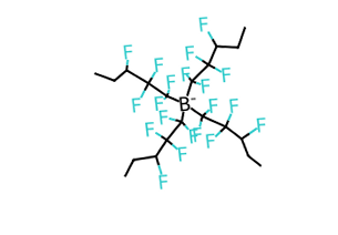 CCC(F)C(F)(F)C(F)(F)[B-](C(F)(F)C(F)(F)C(F)CC)(C(F)(F)C(F)(F)C(F)CC)C(F)(F)C(F)(F)C(F)CC